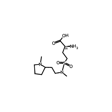 CN1CCCC1CCN(C)S(=O)(=O)CC[C@H](N)C(=O)O